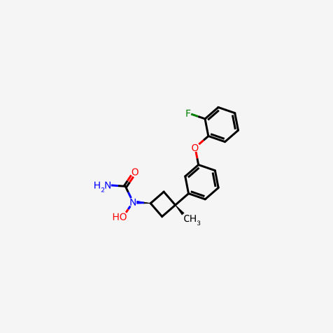 C[C@]1(c2cccc(Oc3ccccc3F)c2)C[C@H](N(O)C(N)=O)C1